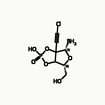 B[C@@H]1O[C@H](CO)C2OP(=O)(O)OC21C#CCl